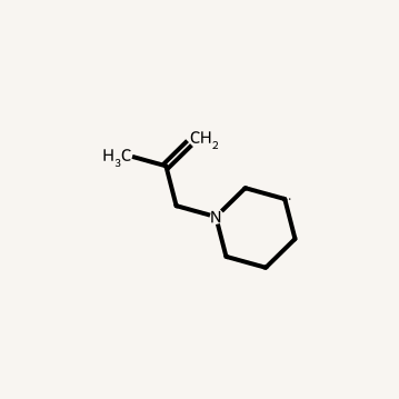 C=C(C)CN1C[CH]CCC1